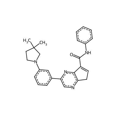 CC1(C)CCN(c2cccc(-c3cnc4c(n3)C(C(=O)Nc3ccccc3)=CC4)c2)C1